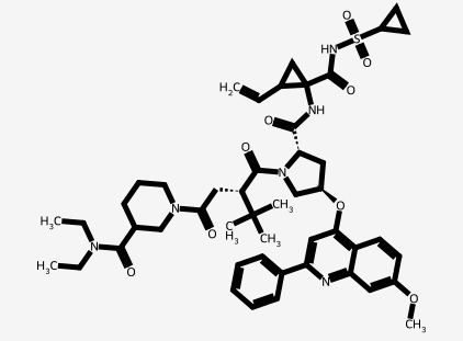 C=CC1CC1(NC(=O)[C@@H]1C[C@@H](Oc2cc(-c3ccccc3)nc3cc(OC)ccc23)CN1C(=O)[C@@H](CC(=O)N1CCCC(C(=O)N(CC)CC)C1)C(C)(C)C)C(=O)NS(=O)(=O)C1CC1